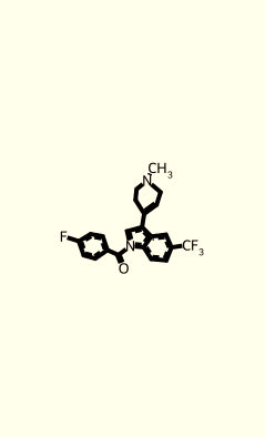 CN1CC=C(c2cn(C(=O)c3ccc(F)cc3)c3ccc(C(F)(F)F)cc23)CC1